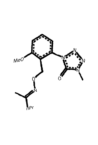 CCCC(C)=NOCc1c(OC)cccc1-n1nnn(C)c1=O